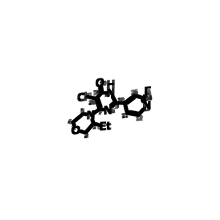 CCC1COCCN1c1nc(-c2ccnc(F)c2)[nH]c(=O)c1Cl